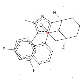 Cn1nc2c(c1-c1cc(F)cc(F)c1)C[C@@H]1CCC[C@H]2N1C(=O)c1ccnc2ncccc12